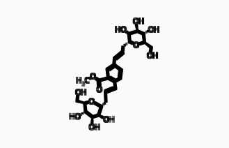 COC(=O)c1cc(/C=C/C[C@H]2O[C@H](CO)[C@@H](O)[C@H](O)[C@@H]2O)ccc1/C=C/C[C@H]1O[C@H](CO)[C@@H](O)[C@H](O)[C@@H]1O